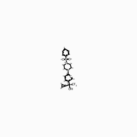 O=S(=O)(c1ccccc1)N1CCN(c2ccc([C@](O)(C3CC3)C(F)(F)F)cc2)CC1